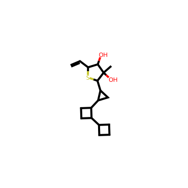 C=CC1SC(C2CC2C2CCC2C2CCC2)C(C)(O)C1O